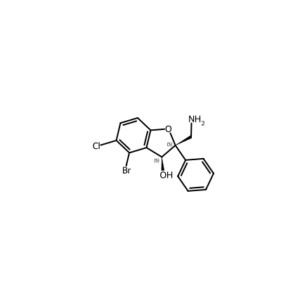 NC[C@]1(c2ccccc2)Oc2ccc(Cl)c(Br)c2[C@@H]1O